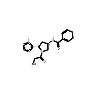 NCC(=O)N1C[C@H](NC(=O)C2=CCCC=C2)C[C@H]1c1nnn[nH]1